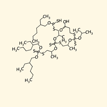 CCCCC(CC)COP(S)SCC(C)OP(=S)(OC(C)CSP(=S)(OCC(CC)CCCC)OCC(CC)CCCC)SCC(C)OP(=S)(OC(C)C)SCCC(=O)O